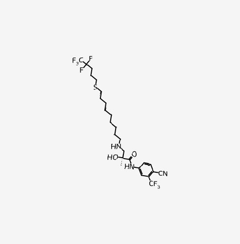 C[C@](O)(CNCCCCCCCCCSCCCC(F)(F)C(F)(F)F)C(=O)Nc1ccc(C#N)c(C(F)(F)F)c1